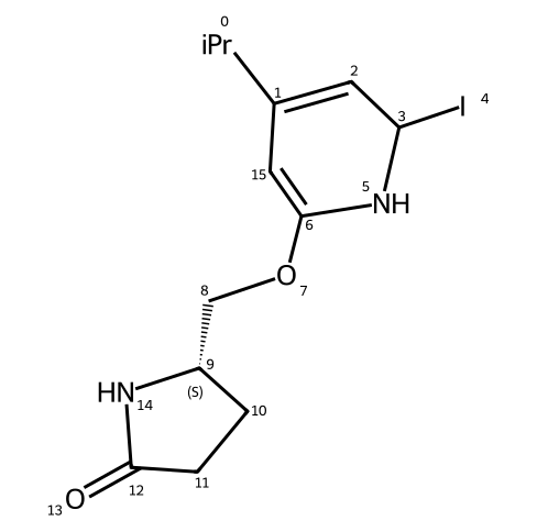 CC(C)C1=CC(I)NC(OC[C@@H]2CCC(=O)N2)=C1